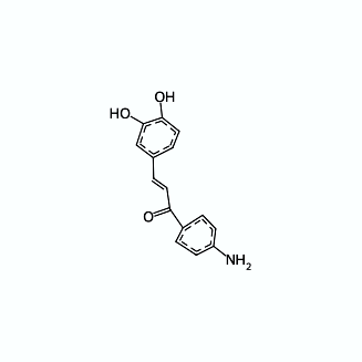 Nc1ccc(C(=O)/C=C/c2ccc(O)c(O)c2)cc1